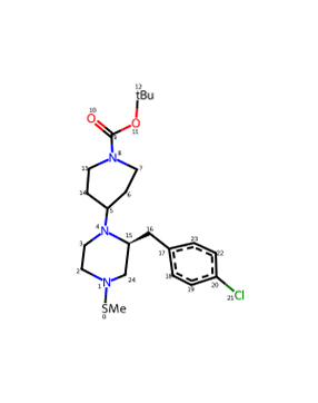 CSN1CCN(C2CCN(C(=O)OC(C)(C)C)CC2)[C@@H](Cc2ccc(Cl)cc2)C1